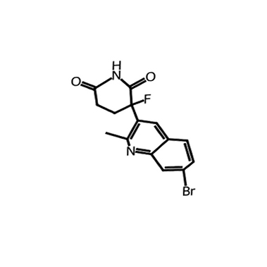 Cc1nc2cc(Br)ccc2cc1C1(F)CCC(=O)NC1=O